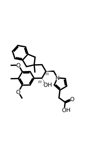 COc1cc([C@@H](O)[C@H](Cn2ccc(CC(=O)O)c2)CC2(C)Cc3ccccc3C2)cc(OC)c1C